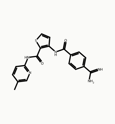 Cc1ccc(NC(=O)c2sccc2NC(=O)c2ccc(C(=N)N)cc2)nc1